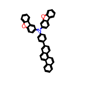 c1ccc2c(c1)ccc1c3ccc(-c4ccc(N(c5ccc6c(c5)oc5ccccc56)c5ccc6oc7ccccc7c6c5)cc4)cc3ccc21